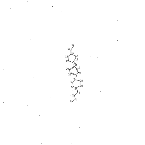 CCCC[C@H]1CC[C@H](c2ccc([C@H]3CC[C@H](CC)CC3)cc2)CC1